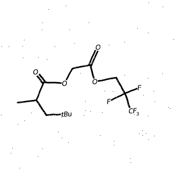 CC(CC(C)(C)C)C(=O)OCC(=O)OCC(F)(F)C(F)(F)F